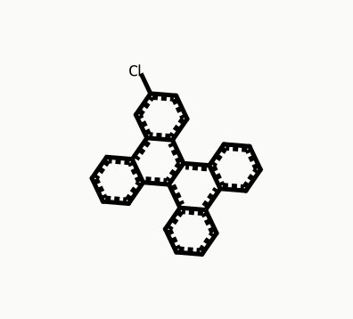 Clc1ccc2c(c1)c1ccccc1c1c3ccccc3c3ccccc3c21